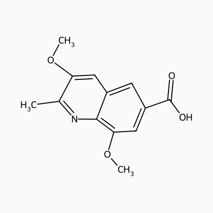 COc1cc2cc(C(=O)O)cc(OC)c2nc1C